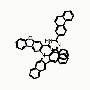 c1ccc(C2=NC(c3ccc4c(ccc5ccccc54)c3)NC(c3cc4oc5ccccc5c4cc3-n3c4cc5ccccc5cc4c4cc5ccccc5cc43)=N2)cc1